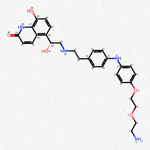 NCCOCCOc1ccc(Nc2ccc(CCNC[C@H](O)c3ccc(O)c4[nH]c(=O)ccc34)cc2)cc1